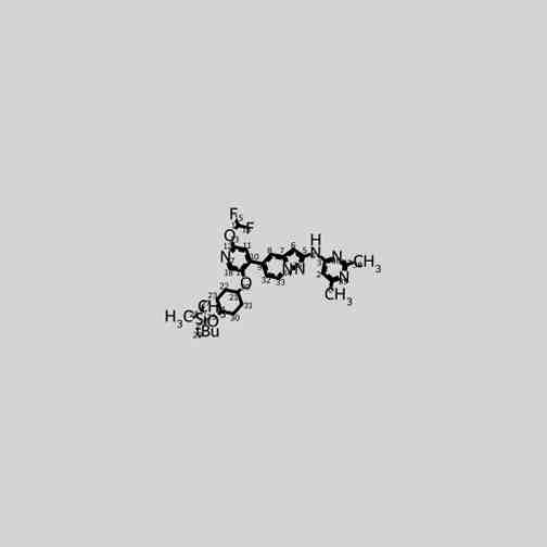 Cc1cc(Nc2cc3cc(-c4cc(OC(F)F)ncc4OC4CCC(O[Si](C)(C)C(C)(C)C)CC4)ccn3n2)nc(C)n1